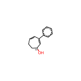 O[C@@H]1C=C(c2ccccc2)C=CCC1